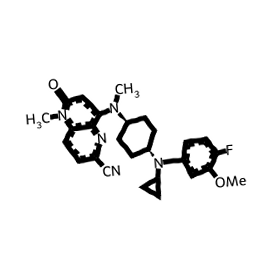 COc1cc(N(C2CC2)[C@H]2CC[C@H](N(C)c3cc(=O)n(C)c4ccc(C#N)nc34)CC2)ccc1F